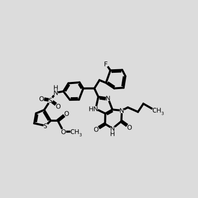 CCCCn1c(=O)[nH]c(=O)c2[nH]c(C(Cc3ccccc3F)c3ccc(NS(=O)(=O)c4ccsc4C(=O)OC)cc3)nc21